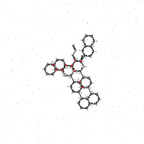 C=C/C=C(\C=C)c1nc(-c2ccccc2)nc(-c2ccc(-c3cccc4cccc(-c5ccc(-c6nc(-c7ccccc7)nc(-c7ccc8ccccc8c7)n6)cc5)c34)cc2)n1